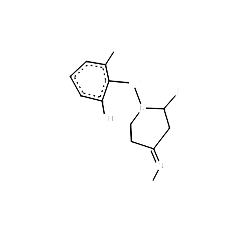 CCC1CC(=NO)CCN1Oc1c(C)cccc1C